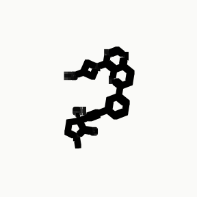 CN1CC[C@@](O)(C#Cc2cccc(-c3ccc4ncnc(N5CC(O)C5)c4n3)c2)C1=O